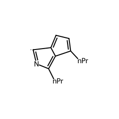 CCCC1=CC=C2[C]=NC(CCC)=C21